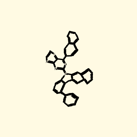 c1ccc(-c2cccc3c2c2cc4ccccc4cc2n3-c2nc(-c3ccc4ccccc4c3)c3nccnc3n2)cc1